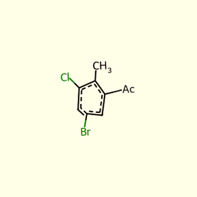 CC(=O)c1cc(Br)cc(Cl)c1C